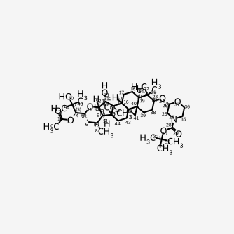 CC(=O)O[C@@H]([C@H]1C[C@@H](C)[C@H]2[C@H](O1)[C@H](O)[C@@]1(C)[C@@H]3CC[C@H]4C(C)(C)[C@@H](O[C@H]5CN(C(=O)OC(C)(C)C)CCO5)CCC45C[C@@]35CC[C@]21C)C(C)(C)O